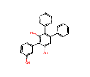 Oc1cccc(-c2c(O)cc(-c3ccccc3)c(-c3ccccc3)c2O)c1